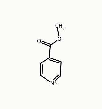 COC(=O)C1=CC=[N+]C=C1